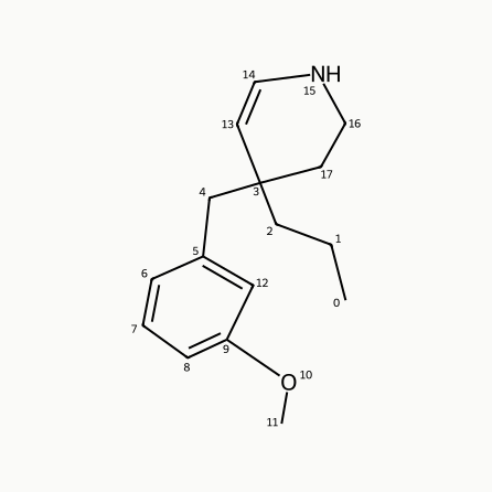 CCCC1(Cc2cccc(OC)c2)C=CNCC1